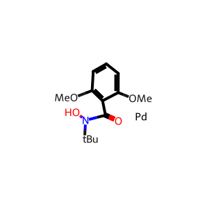 COc1cccc(OC)c1C(=O)N(O)C(C)(C)C.[Pd]